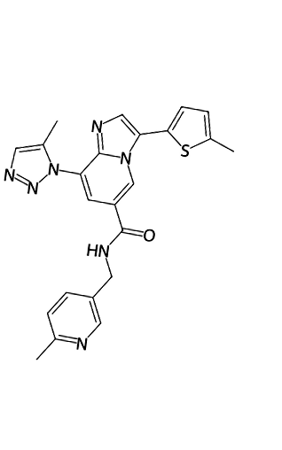 Cc1ccc(CNC(=O)c2cc(-n3nncc3C)c3ncc(-c4ccc(C)s4)n3c2)cn1